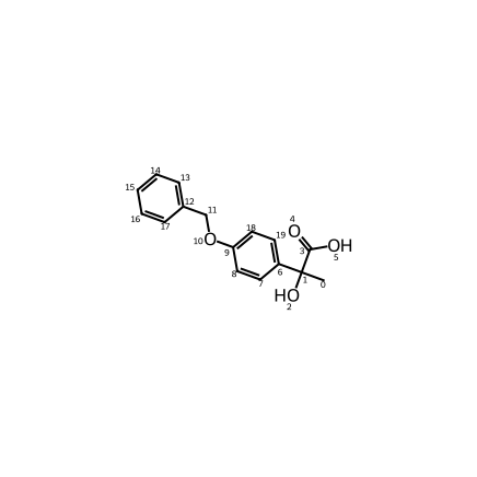 CC(O)(C(=O)O)c1ccc(OCc2ccccc2)cc1